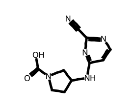 N#Cc1nccc(NC2CCN(C(=O)O)C2)n1